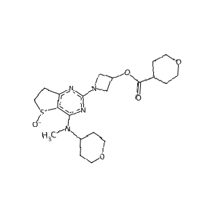 CN(c1nc(N2CC(OC(=O)C3CCOCC3)C2)nc2c1[S+]([O-])CC2)C1CCOCC1